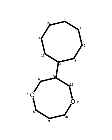 C1CCCC(C2COCCCOC2)CCC1